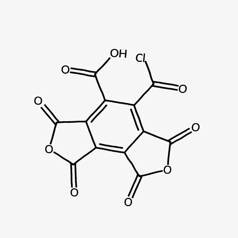 O=C(O)c1c(C(=O)Cl)c2c(=O)oc(=O)c2c2c(=O)oc(=O)c12